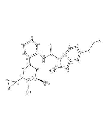 CCCc1cnc2c(C(=O)Nc3cnccc3N3CC(C4CC4)[C@@H](O)[C@H](N)C3)c(N)oc2c1